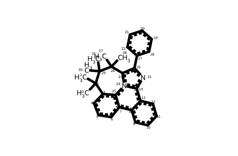 CC1(C)c2cccc3c4ccccc4c4nc(-c5ccccc5)c(n4c23)C(C)(C)C1(C)C